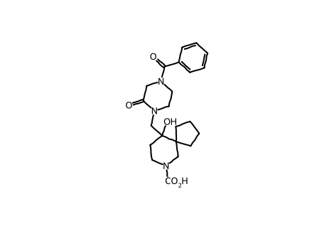 O=C(O)N1CCC(O)(CN2CCN(C(=O)c3ccccc3)CC2=O)C2(CCCC2)C1